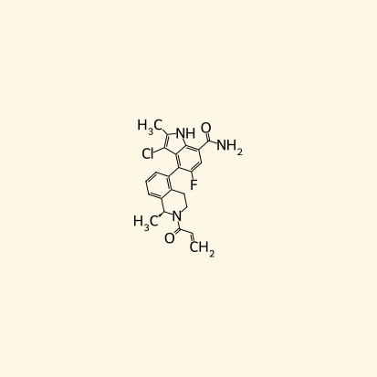 C=CC(=O)N1CCc2c(-c3c(F)cc(C(N)=O)c4[nH]c(C)c(Cl)c34)cccc2[C@@H]1C